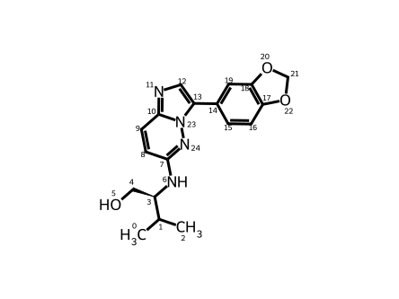 CC(C)[C@@H](CO)Nc1ccc2ncc(-c3ccc4c(c3)OCO4)n2n1